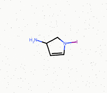 NC1C=CN(I)C1